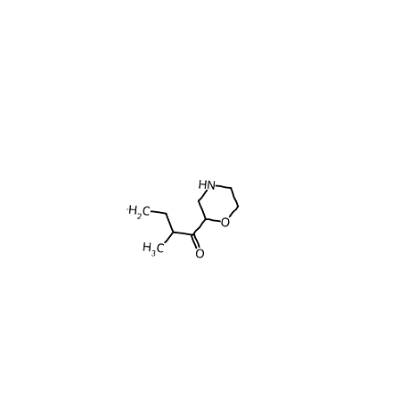 [CH2]CC(C)C(=O)C1CNCCO1